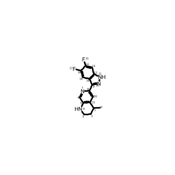 CC1CCNc2cnc(-c3n[nH]c4cc(F)c(F)cc34)cc21